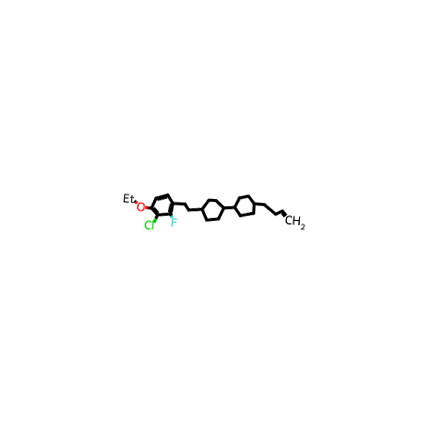 C=CCCC1CCC(C2CCC(CCc3ccc(OCC)c(Cl)c3F)CC2)CC1